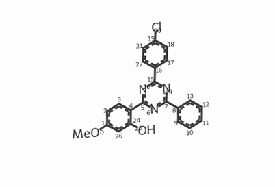 COc1ccc(-c2nc(-c3ccccc3)nc(-c3ccc(Cl)cc3)n2)c(O)c1